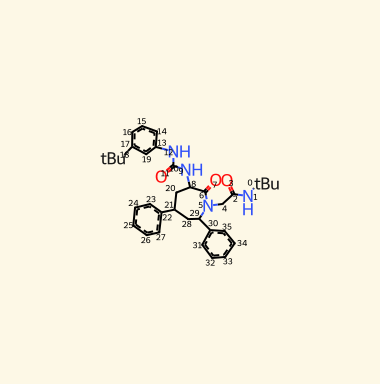 CC(C)(C)NC(=O)CN1C(=O)C(NC(=O)Nc2cccc(C(C)(C)C)c2)CC(c2ccccc2)CC1c1ccccc1